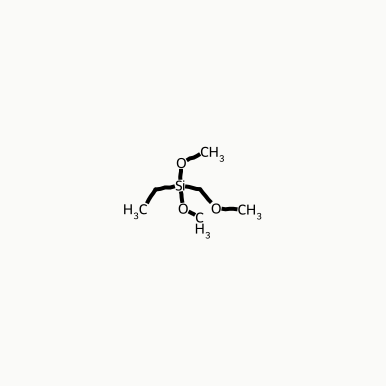 CC[Si](COC)(OC)OC